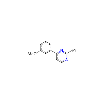 COc1cccc(-c2ccnc(C(C)C)n2)c1